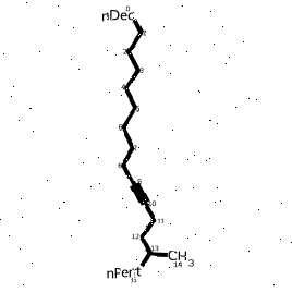 [CH2]CCCCCCCCCCCCCCCCCC#CCCC(C)CCCC[CH2]